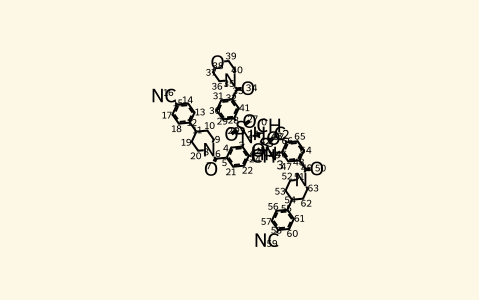 C=C(N(c1cc(C(=O)N2CCC(c3ccc(C#N)cc3)CC2)ccc1C)S(=O)(=O)c1cccc(C(=O)N2CCOCC2)c1)S(=O)(=O)Nc1cc(C(=O)N2CCC(c3ccc(C#N)cc3)CC2)ccc1C